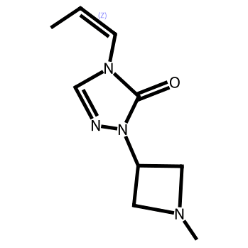 C/C=C\n1cnn(C2CN(C)C2)c1=O